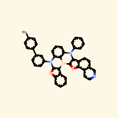 CC(C)(C)c1ccc(-c2cccc(N3c4cccc5c4B(c4oc6c(ccc7cnccc76)c4N5c4ccccc4)c4c3oc3ccccc43)c2)cc1